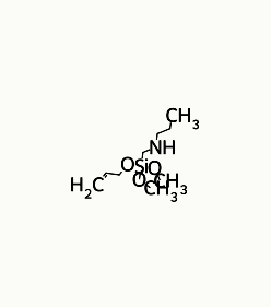 C=CCO[Si](CNCCC)(OC)OC